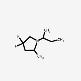 CCC(C)N1CC(F)(F)CC1C